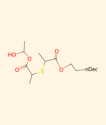 CCCCCCCCCCCCOC(=O)C(C)SC(C)C(=O)OC(C)O